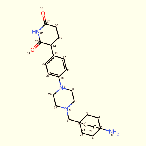 NC12CCC(CN3CCN(c4ccc(C5CCC(=O)NC5=O)cc4)CC3)(CC1)CC2